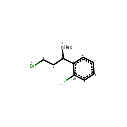 CCCCCCC(CCBr)c1ccccc1F